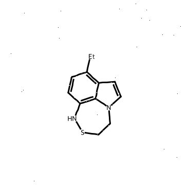 CCc1ccc2c3c1ccn3CCSN2